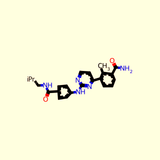 Cc1c(C(N)=O)cccc1-c1ccnc(Nc2ccc(C(=O)NCC(C)C)cc2)n1